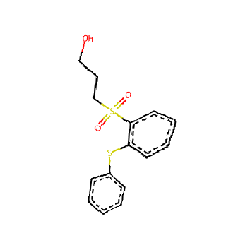 O=S(=O)(CCCO)c1ccccc1Sc1ccccc1